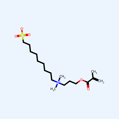 C=C(C)C(=O)OCCC[N+](C)(C)CCCCCCCCCS(=O)(=O)[O-]